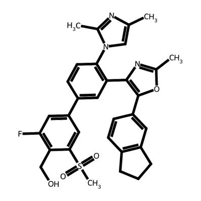 Cc1cn(-c2ccc(-c3cc(F)c(CO)c(S(C)(=O)=O)c3)cc2-c2nc(C)oc2-c2ccc3c(c2)CCC3)c(C)n1